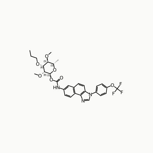 CCCO[C@@H]1[C@@H](OC)[C@H](C)O[C@@H](OC(=O)Nc2ccc3c(ccc4c3ncn4-c3ccc(OC(F)(F)F)cc3)c2)[C@@H]1OC